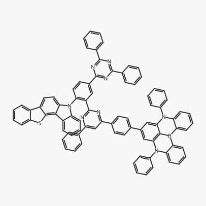 c1ccc(-c2cc(-c3ccc(-c4cc5c6c(c4)N(c4ccccc4)c4ccccc4B6c4ccccc4N5c4ccccc4)cc3)nc(-c3cc(-c4nc(-c5ccccc5)nc(-c5ccccc5)n4)ccc3-n3c4ccccc4c4c5sc6ccccc6c5ccc43)n2)cc1